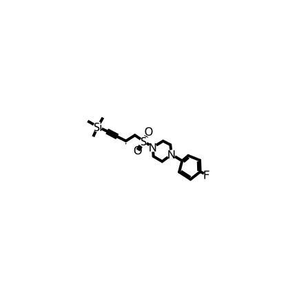 C[Si](C)(C)C#C[CH]CS(=O)(=O)N1CCN(c2ccc(F)cc2)CC1